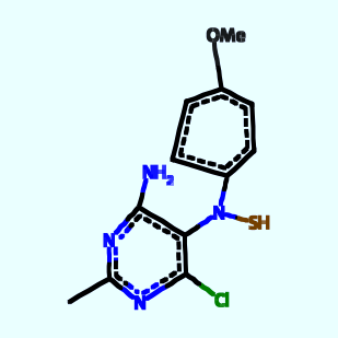 COc1ccc(N(S)c2c(N)nc(C)nc2Cl)cc1